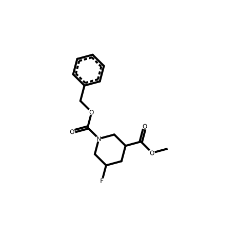 COC(=O)C1CC(F)CN(C(=O)OCc2ccccc2)C1